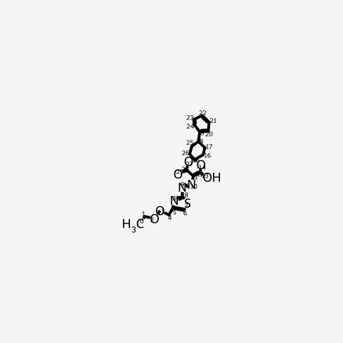 CCOOCc1csc(N=NC2=C(O)OC3(CCC(c4ccccc4)CC3)OC2=O)n1